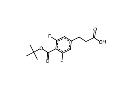 CC(C)(C)OC(=O)c1c(F)cc(CCC(=O)O)cc1F